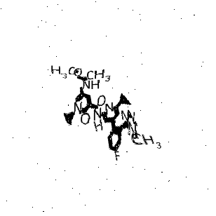 COC[C@@H](C)NCc1cc(C(=O)Nc2cc(-c3ccc(F)cc3-c3nncn3C)cc(C3CC3)n2)c(=O)n(C2CC2)c1